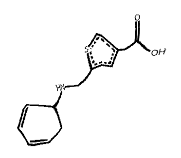 O=C(O)c1csc(CNC2C=CC=CC2)c1